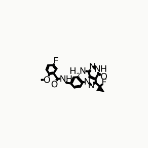 COc1ccc(F)cc1C(=O)NCc1ccc(-n2nc(C3(F)CC3)c3c(=O)[nH]nc(N)c32)cc1